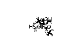 C=CC[C@@](NC(=O)OC(C)(C)C)(C(=O)O)C(O[SiH](C)C)C(C)(C)C